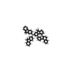 CC1(C)c2ccccc2-c2ccc(N(c3ccc4c(c3)C(C)(C)c3ccccc3-4)c3ccc4c(c3)C(C)(C)c3cccc(-n5c6ccccc6c6c7ccccc7ccc65)c3-4)cc21